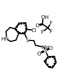 O=C(O)C(F)(F)F.O=S(=O)(NCCSc1c(Cl)ccc2c1CCNCC2)c1ccccc1